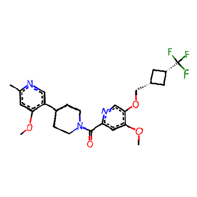 COc1cc(C(=O)N2CCC(c3cnc(C)cc3OC)CC2)ncc1OC[C@H]1C[C@@H](C(F)(F)F)C1